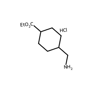 CCOC(=O)C1CCC(CN)CC1.Cl